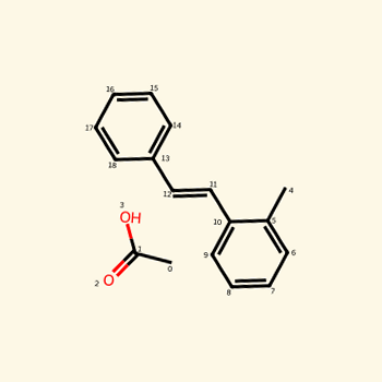 CC(=O)O.Cc1ccccc1C=Cc1ccccc1